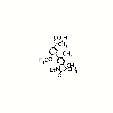 CCN1C(=O)CC(C)(C)c2cc(C)c(-c3cc(C(C)CC(=O)O)ccc3OC(F)(F)F)cc21